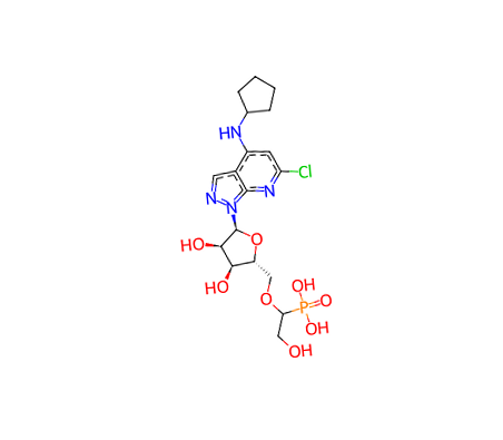 O=P(O)(O)C(CO)OC[C@H]1O[C@H](n2ncc3c(NC4CCCC4)cc(Cl)nc32)[C@H](O)[C@@H]1O